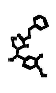 CC(C)(C)Oc1ccc([C@@H](O)[C@@H](CO)NC(=O)OCc2ccccc2)cc1Cl